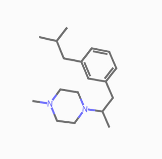 CC(C)Cc1cccc(CC(C)N2CCN(C)CC2)c1